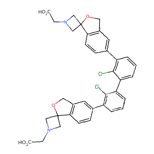 O=C(O)CN1CC2(C1)OCc1cc(-c3cccc(-c4cccc(-c5ccc6c(c5)COC65CN(CC(=O)O)C5)c4Cl)c3Cl)ccc12